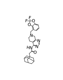 O=C(CC12CC3CC(CC(C3)C1)C2)Nc1ncnc2c1CCN(Cc1cccc3c1OC(F)(F)O3)C2